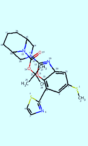 CSc1cc(-c2nccs2)c2oc(N3CC4CCCC(C3)N4C(=O)OC(C)(C)C)nc2c1